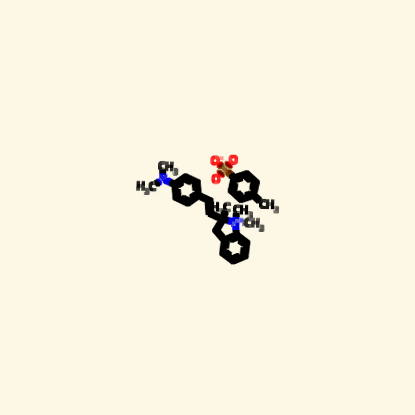 CN(C)c1ccc(C=CC2(C)Cc3ccccc3[N+]2(C)C)cc1.Cc1ccc(S(=O)(=O)[O-])cc1